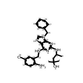 CC(CC(C)(C)O)Nc1nc(NCc2cc(Cl)ccc2N)c2ncn(Cc3ccccc3)c2n1